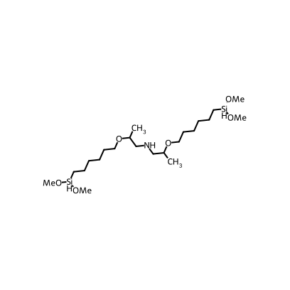 CO[SiH](CCCCCCOC(C)CNCC(C)OCCCCCC[SiH](OC)OC)OC